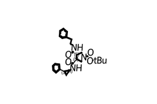 CC(C)(C)OC(=O)N1C[C@@H](C(=O)NCCc2ccccc2)[C@H](C(=O)N[C@@H]2C[C@H]2c2ccccc2)C1